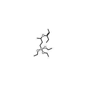 C/C=C(/CC)OC(C)CC[Si](OCC)(OCC)OCC